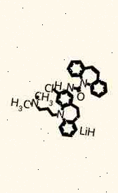 CN(C)CCCN1c2ccccc2CCc2ccc(Cl)cc21.NC(=O)N1c2ccccc2C=Cc2ccccc21.[LiH]